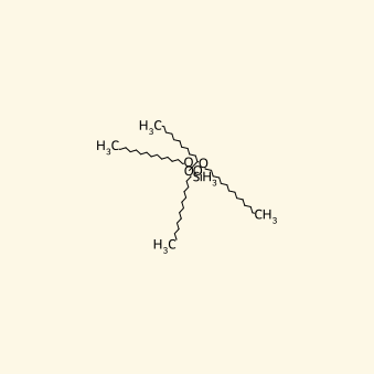 CCCCCCCCCCCCCCOC(CCCCCCCCCC)C(O[SiH3])(OCCCCCCCCCCCCCC)OCCCCCCCCCCCCCC